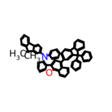 CC1(C)c2ccccc2-c2ccc(N(c3ccccc3)c3cccc4oc5c6ccccc6c(-c6ccc7c(c6)C(c6ccccc6)(c6ccccc6)c6ccccc6-7)cc5c34)cc21